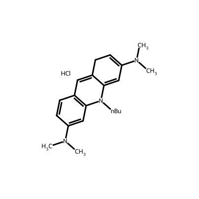 CCCCN1C2=CC(N(C)C)=CCC2=Cc2ccc(N(C)C)cc21.Cl